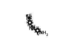 Cc1cc(-n2cnc(-c3ccc(OC(F)(F)F)cc3)n2)ccc1N